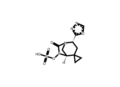 O=C1N2C[C@H](N1OS(=O)(=O)O)C1(CC1)C[C@H]2c1nnco1